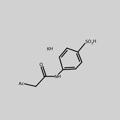 CC(=O)CC(=O)Nc1ccc(S(=O)(=O)O)cc1.[KH]